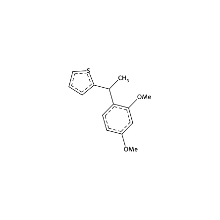 COc1ccc(C(C)c2cccs2)c(OC)c1